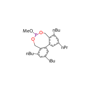 CCCCc1cc(CCC)cc2c1COP(OC)OCc1c(CCCC)cc(C(C)CC)cc1-2